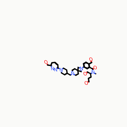 CN(C(=O)c1cc(N2CC3(CCN(CC4CCN(C5=NN=C(C=O)CC=C5)CC4)CC3)C2)ccc1C=O)C(C=O)CCC=O